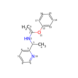 C=C(NC(C)c1ccccn1)Oc1ccccc1